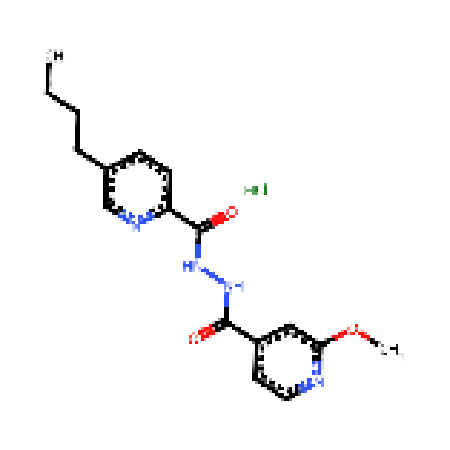 CCCCc1ccc(C(=O)NNC(=O)c2ccnc(OC)c2)nc1.Cl